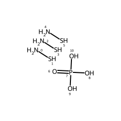 NS.NS.NS.O=P(O)(O)O